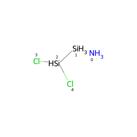 N.[SiH3][SiH](Cl)Cl